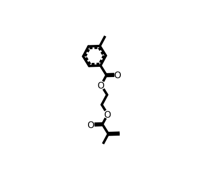 C=C(C)C(=O)OCCOC(=O)c1cccc(C)c1